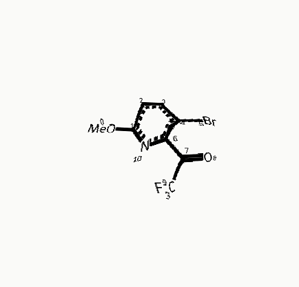 COc1ccc(Br)c(C(=O)C(F)(F)F)n1